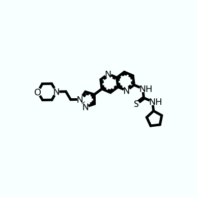 S=C(Nc1ccc2ncc(-c3cnn(CCN4CCOCC4)c3)cc2n1)NC1CCCC1